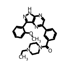 CCN1CCN(C(=O)c2cccc(-c3cnc4[nH]nc(-c5ccccc5OC)c4n3)c2)CC1